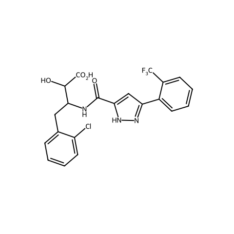 O=C(NC(Cc1ccccc1Cl)C(O)C(=O)O)c1cc(-c2ccccc2C(F)(F)F)n[nH]1